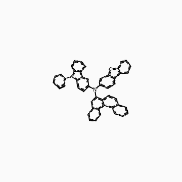 c1ccc(-n2c3ccccc3c3cc(N(c4ccc5c(c4)oc4ccccc45)c4cc5ccccc5c5c4ccc4ccccc45)ccc32)cc1